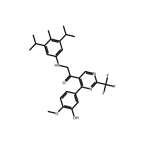 COc1ccc(-c2nc(C(F)(F)F)ncc2C(=O)CNc2cc(C(C)C)c(C)c(C(C)C)c2)cc1O